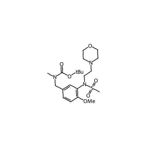 COc1ccc(CN(C)C(=O)OC(C)(C)C)cc1N(CCN1CCOCC1)S(C)(=O)=O